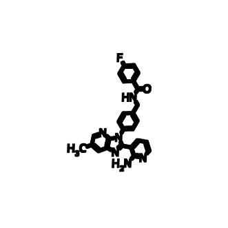 Cc1cnc2c(c1)nc(-c1cccnc1N)n2-c1ccc(CNC(=O)c2ccc(F)cc2)cc1